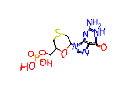 Nc1nc2c(ncn2C2CSCC(COP(=O)(O)O)O2)c(=O)[nH]1